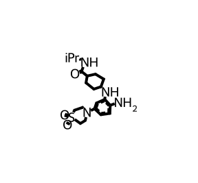 CC(C)NC(=O)C1CCC(Nc2cc(N3CCS(=O)(=O)CC3)ccc2N)CC1